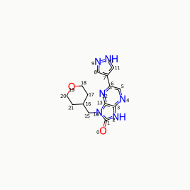 O=c1[nH]c2ncc(-c3cn[nH]c3)nc2n1CC1CCOCC1